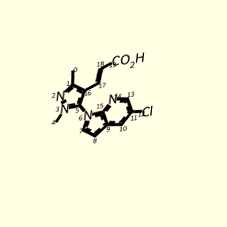 Cc1nn(C)c(-n2ccc3cc(Cl)cnc32)c1C=CC(=O)O